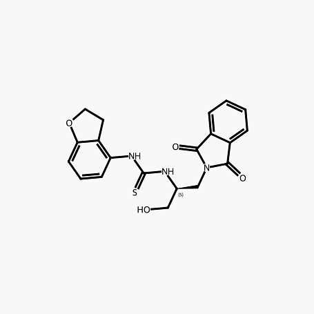 O=C1c2ccccc2C(=O)N1C[C@@H](CO)NC(=S)Nc1cccc2c1CCO2